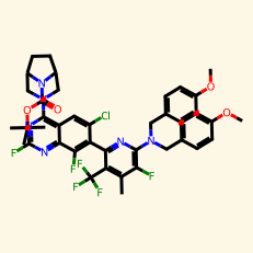 COc1ccc(CN(Cc2ccc(OC)cc2)c2nc(-c3c(Cl)cc4c(N5CC6CCC(C5)N6C(=O)OC(C)(C)C)nc(F)nc4c3F)c(C(F)(F)F)c(C)c2F)cc1